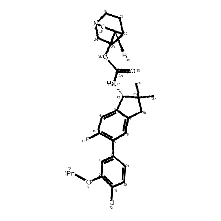 CC(C)Oc1cc(-c2cc3c(cc2F)[C@H](NC(=O)O[C@@H]2CN4CCC2CC4)C(C)(C)C3)ccc1Cl